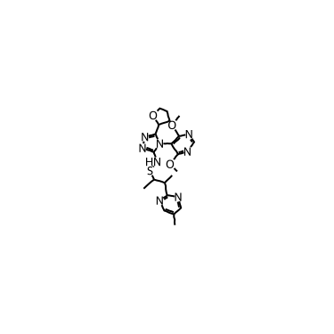 COc1ncnc(OC)c1-n1c(NSC(C)C(C)c2ncc(C)cn2)nnc1C1CCCO1